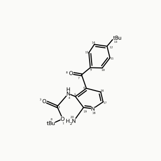 CC(C)(C)OC(=O)Nc1c(C(=O)c2ccc(C(C)(C)C)cc2)ccnc1N